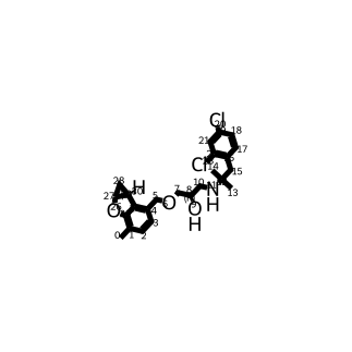 Cc1ccc(COC[C@H](O)CNC(C)(C)Cc2ccc(Cl)cc2Cl)c2c1OC1C[C@@H]21